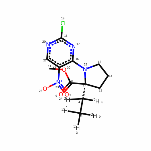 [2H]C([2H])([2H])C([2H])([2H])[C@@]1(C(=O)OC)CCCN1c1nc(Cl)ncc1[N+](=O)[O-]